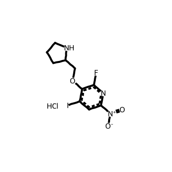 Cl.O=[N+]([O-])c1cc(I)c(OCC2CCCN2)c(F)n1